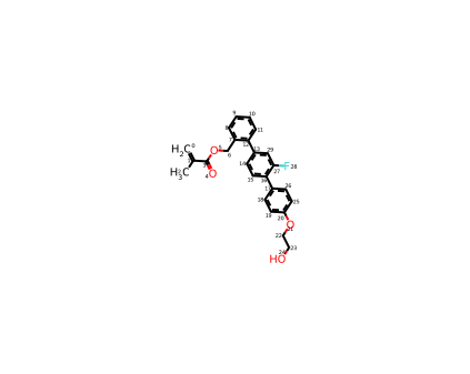 C=C(C)C(=O)OCc1ccccc1-c1ccc(-c2ccc(OCCO)cc2)c(F)c1